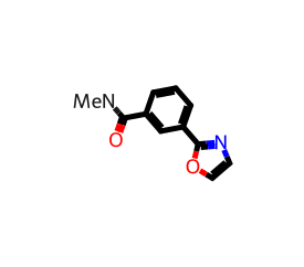 CNC(=O)c1cccc(-c2ncco2)c1